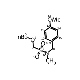 CCCCOCS(=O)(=O)N(C)Cc1ccc(OC)cc1